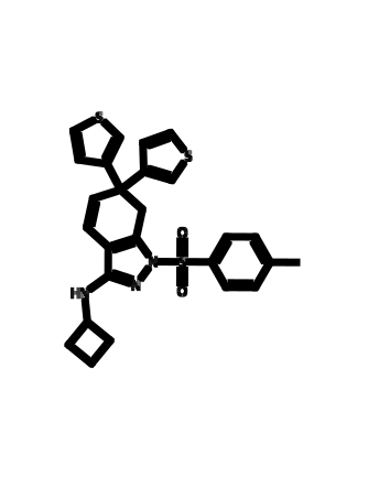 Cc1ccc(S(=O)(=O)n2nc(NC3CCC3)c3c2CC(c2ccsc2)(c2ccsc2)C=C3)cc1